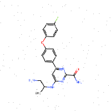 NCC(C=O)Nc1cc(-c2ccc(Oc3ccc(F)cc3)cc2)nc(C(N)=O)n1